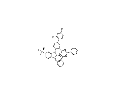 Fc1ccc(-c2ccc(-n3c4ccccc4c4ccc(C(F)(F)F)cc43)c(-c3nc(-c4ccccc4)nc(-c4ccccc4)n3)c2)c(F)c1